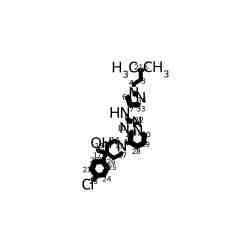 CC(C)CCn1cc(Nc2nc3c(N4CCC(CO)(c5ccc(Cl)cc5)CC4)cccn3n2)cn1